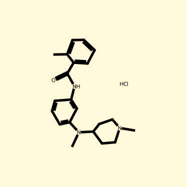 Cc1ccccc1C(=O)Nc1cccc(N(C)C2CCN(C)CC2)c1.Cl